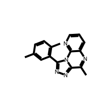 Cc1ccc(C)c(-c2nnc3c(C)nc4cccnc4n23)c1